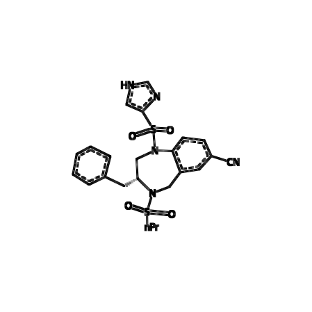 CCCS(=O)(=O)N1Cc2cc(C#N)ccc2N(S(=O)(=O)c2c[nH]cn2)C[C@H]1Cc1ccccc1